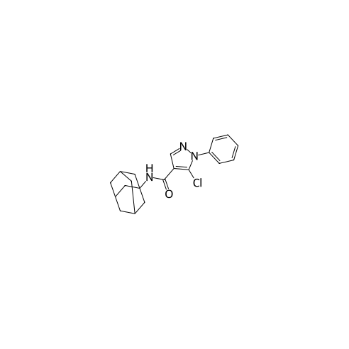 O=C(NC12CC3CC(CC(C3)C1)C2)c1cnn(-c2ccccc2)c1Cl